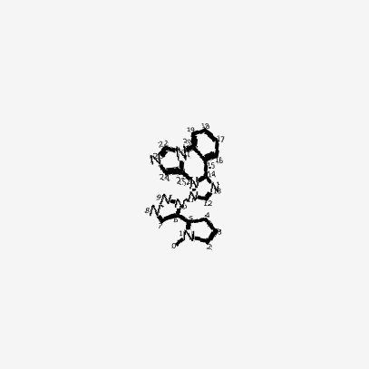 CN1CCCC1c1cnnn1N1C=NC2c3ccccc3-n3cncc3N21